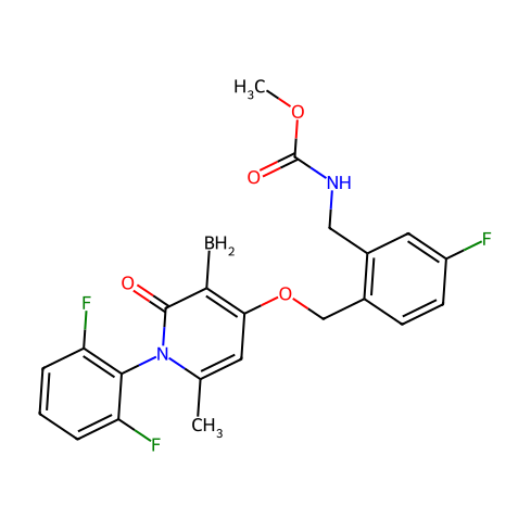 Bc1c(OCc2ccc(F)cc2CNC(=O)OC)cc(C)n(-c2c(F)cccc2F)c1=O